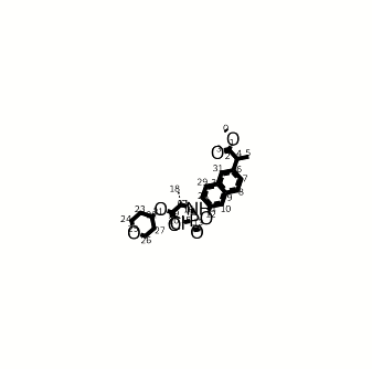 COC(=O)C(C)c1ccc2cc(OP(=O)(Cl)N[C@@H](C)C(=O)OC3CCOCC3)ccc2c1